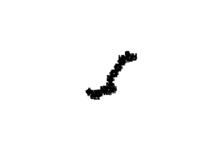 CCC1(C(=O)NC2CCC2)CCN(c2ccc(-c3nc(-c4cnn(C5CCC(N6CCC(c7ccc(N[C@@H]8CCC(=O)NC8=O)cc7)CC6)CC5)c4)cn4ncc(C#N)c34)cn2)CC1